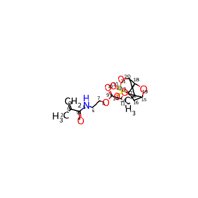 C=C(C)C(=O)NCCOC(=O)COC1(C)C2CC3C(O2)C1OS3(=O)=O